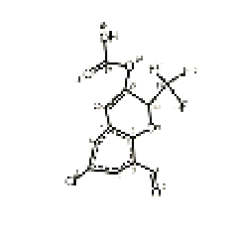 O=Cc1cc(Cl)cc2c1OC(C(F)(F)F)C(OC(=O)O)=C2